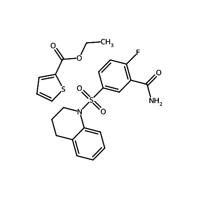 CCOC(=O)c1cccs1.NC(=O)c1cc(S(=O)(=O)N2CCCc3ccccc32)ccc1F